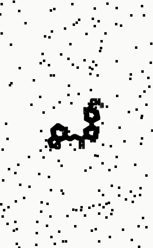 Cc1ccc(-c2cc(NCCc3nccc4c3OCC4)ncn2)cn1